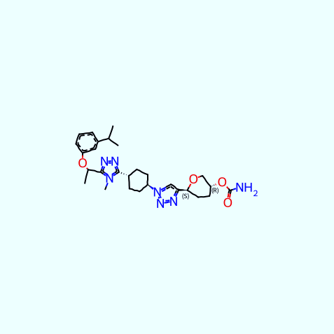 CC(C)c1cccc(OC(C)c2nnc([C@H]3CC[C@H](n4cc([C@@H]5CC[C@@H](OC(N)=O)CO5)nn4)CC3)n2C)c1